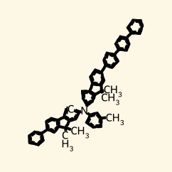 Cc1cccc(N(c2ccc3c(c2)C(C)(C)c2cc(-c4ccccc4)ccc2-3)c2ccc3c(c2)C(C)(C)c2cc(-c4ccc(-c5ccc(-c6ccccc6)cc5)cc4)ccc2-3)c1